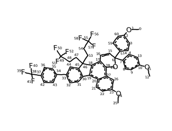 COc1ccc(C2(c3ccc(OC)cc3)C=Cc3c4c(c5ccc(OC)cc5c3O2)-c2ccc(-c3ccc(C(F)(F)F)cc3)cc2C4(CCC(F)(F)F)CCC(F)(F)F)cc1